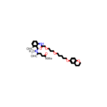 CNC(=O)CCC(C=O)N(C)Cc1c(C=O)cccc1NC(=O)COCCCOCCCCCOc1ccc2c(c1)CCCO2